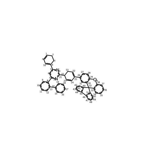 C1=CCCC(c2cc(-c3ccccc3-c3ccccc3)nc(C3C=CC(c4ccc5c(c4)C4(c6ccccc6O5)c5ccccc5-c5ccccc54)=CC3)n2)=C1